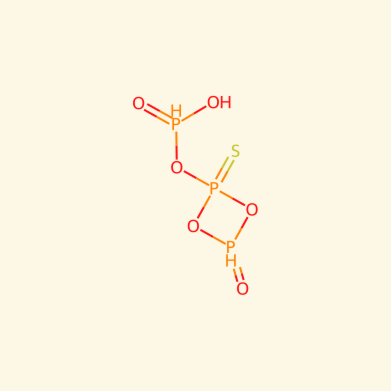 O=[PH](O)OP1(=S)O[PH](=O)O1